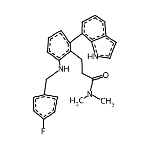 CN(C)C(=O)CCc1c(NCc2ccc(F)cc2)cccc1-c1cccc2cc[nH]c12